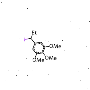 CCC(I)c1cc(OC)c(OC)c(OC)c1